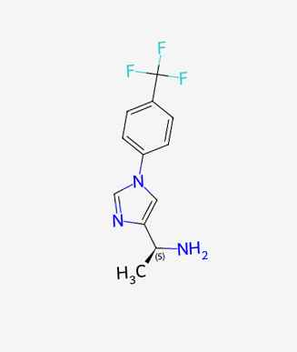 C[C@H](N)c1cn(-c2ccc(C(F)(F)F)cc2)cn1